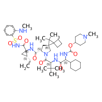 C=C[C@@H]1C[C@]1(NC(=O)[C@@H]1C[C@@]2(CN1C(=O)[C@@H](NC(=O)[C@@H](NC(=O)OC1CCN(C)CC1)C1CCCCC1)C(C)(C)C)C(C)(C)C21CCC1)C(=O)NS(=O)(=O)c1ccccc1NC